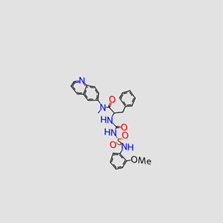 COc1ccccc1NS(=O)(=O)NC(=O)NC(Cc1ccccc1)C(=O)N(C)c1ccc2ncccc2c1